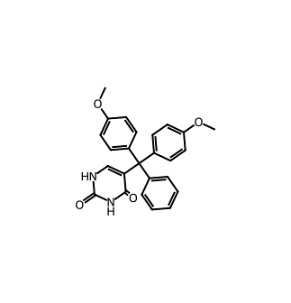 COc1ccc(C(c2ccccc2)(c2ccc(OC)cc2)c2c[nH]c(=O)[nH]c2=O)cc1